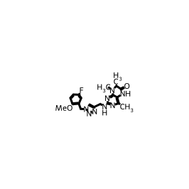 COc1ccc(F)cc1Cn1cc(CNc2nc(C)c3c(n2)N(C)[C@@H](C)C(=O)N3)nn1